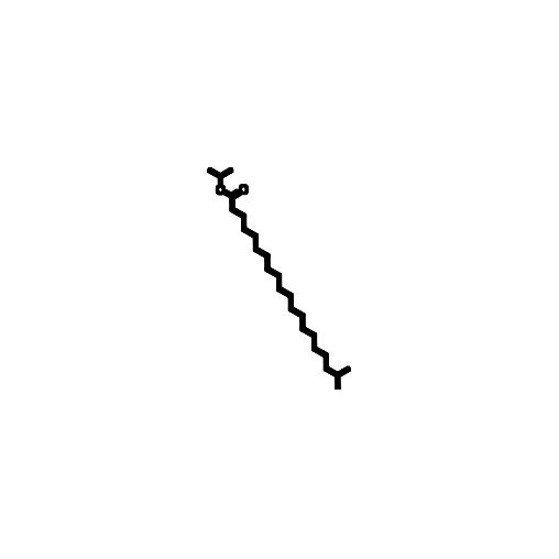 CC(C)CCCCCCCCCCCCCCCCCC(=O)OC(C)C